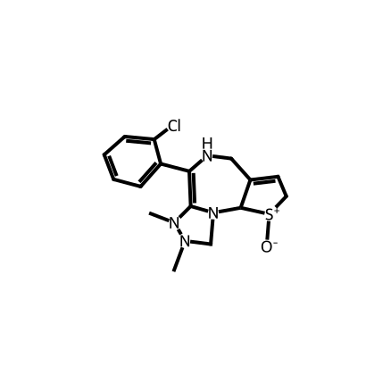 CN1CN2C(=C(c3ccccc3Cl)NCC3=CC[S+]([O-])C32)N1C